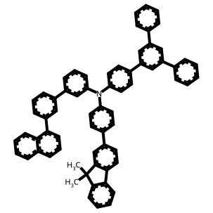 CC1(C)c2ccccc2-c2ccc(-c3ccc(N(c4ccc(-c5cc(-c6ccccc6)cc(-c6ccccc6)c5)cc4)c4cccc(-c5cccc(-c6cccc7ccccc67)c5)c4)cc3)cc21